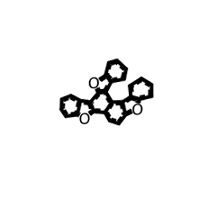 c1ccc2c(c1)oc1c3ccc4oc5ccccc5c4c3c3c4ccccc4oc3c21